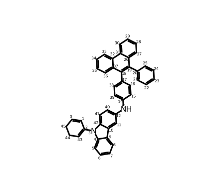 C1=CC(n2c3ccccc3c3cc(Nc4ccc(-c5c(-c6ccccc6)c6ccccc6c6ccccc56)cc4)ccc32)=CCC1